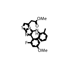 COC(=O)Cc1csc2nc(-c3c(F)cc(OC)cc3F)c(Nc3c(C)cccc3C)n12